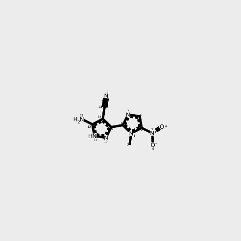 Cn1c([N+](=O)[O-])cnc1-c1n[nH]c(N)c1C#N